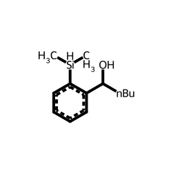 CCCCC(O)c1ccccc1[SiH](C)C